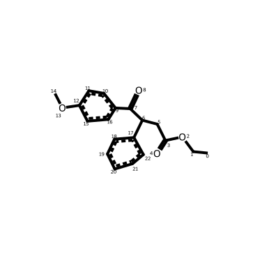 CCOC(=O)CC(C(=O)c1ccc(OC)cc1)c1ccccc1